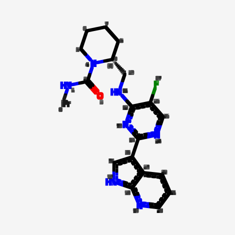 CC(C)NC(=O)N1CCCC[C@@H]1CNc1nc(-c2c[nH]c3ncccc23)ncc1F